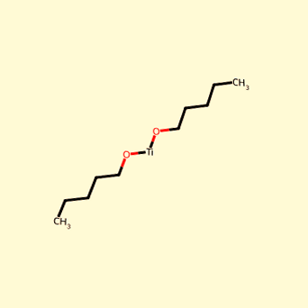 CCCCC[O][Ti][O]CCCCC